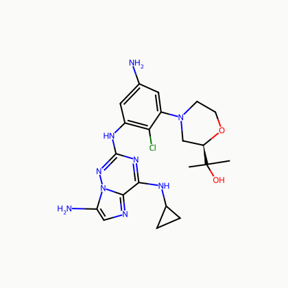 CC(C)(O)[C@H]1CN(c2cc(N)cc(Nc3nc(NC4CC4)c4ncc(N)n4n3)c2Cl)CCO1